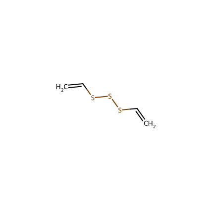 C=CSSSC=C